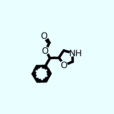 O=COC(c1ccccc1)C1CNCO1